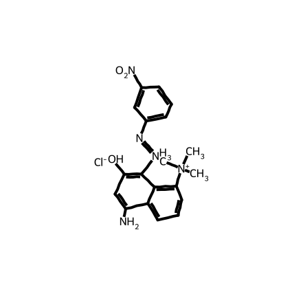 C[N+](C)(C)c1cccc2c(N)cc(O)c(N=Nc3cccc([N+](=O)[O-])c3)c12.[Cl-]